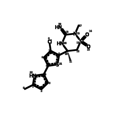 Cc1ccc(-c2cc(Cl)c([C@]3(C)CS(=O)(=O)N(C)C(=N)N3)s2)[nH]1